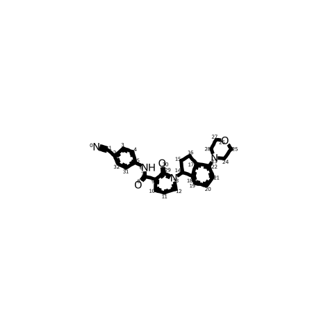 N#Cc1ccc(NC(=O)c2cccn(C3CCc4c3cccc4N3CCOCC3)c2=O)cc1